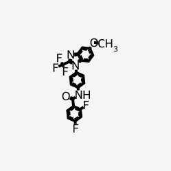 COc1ccc2c(c1)nc(C(F)(F)F)n2-c1ccc(NC(=O)c2ccc(F)cc2F)cc1